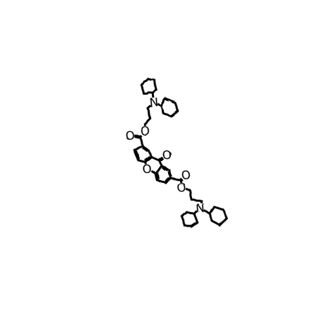 O=C(OCCCN(C1CCCCC1)C1CCCCC1)c1ccc2oc3ccc(C(=O)OCCCN(C4CCCCC4)C4CCCCC4)cc3c(=O)c2c1